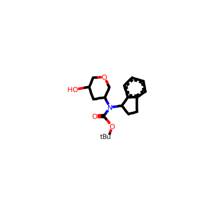 CC(C)(C)OC(=O)N(C1COCC(O)C1)C1CCc2ccccc21